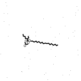 CCCCCCCCCCCCCCCCCCOC1(C(CC)CCCC)OCC(=O)CO1